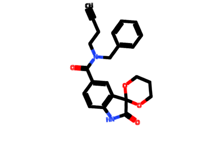 C#CCCN(Cc1ccccc1)C(=O)c1ccc2c(c1)C1(OCCCO1)C(=O)N2